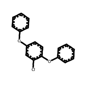 Clc1cc(Oc2ccccc2)ccc1Oc1ccccc1